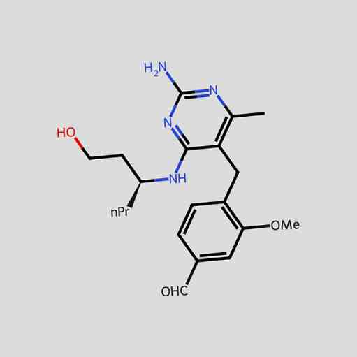 CCC[C@@H](CCO)Nc1nc(N)nc(C)c1Cc1ccc(C=O)cc1OC